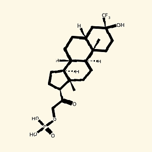 C[C@]12CC[C@](O)(C(F)(F)F)C[C@H]1CC[C@@H]1[C@@H]2CC[C@]2(C)[C@@H](C(=O)COP(=O)(O)O)CC[C@@H]12